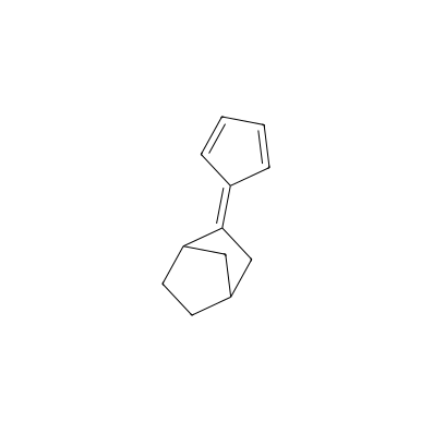 C1=CC(=C2CC3CCC2C3)C=C1